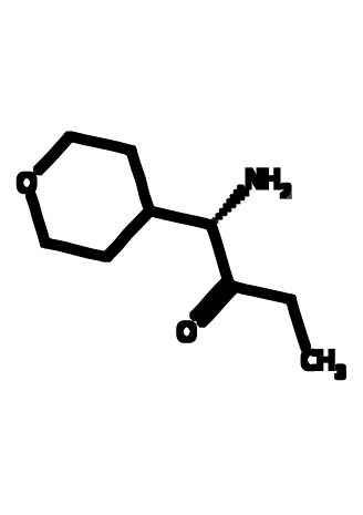 CCC(=O)[C@@H](N)C1CCOCC1